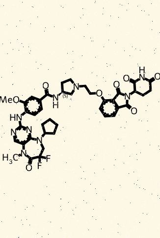 COc1cc(C(=O)N[C@H]2CCN(CCOc3cccc4c3C(=O)N(C3CCC(=O)NC3=O)C4=O)C2)ccc1Nc1ncc2c(n1)N(C1CCCC1)CC(F)(F)C(=O)N2C